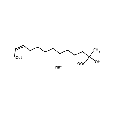 CCCCCCCC/C=C\CCCCCCCCC(C)(O)C(=O)[O-].[Na+]